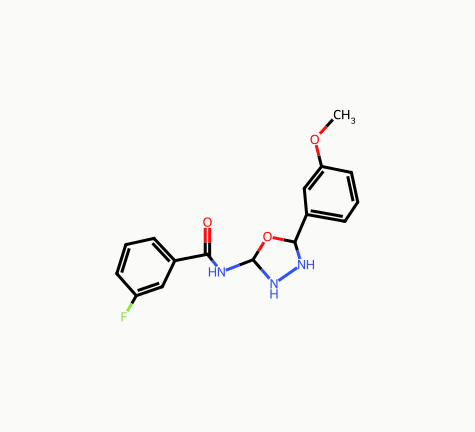 COc1cccc(C2NNC(NC(=O)c3cccc(F)c3)O2)c1